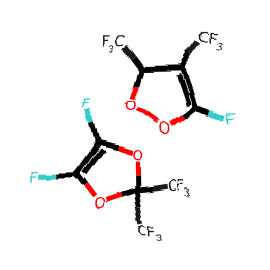 FC1=C(C(F)(F)F)C(C(F)(F)F)OO1.FC1=C(F)OC(C(F)(F)F)(C(F)(F)F)O1